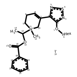 CCCCCCOc1nsnc1C1=CCC[N+](C)(C(C)OC(=O)c2ccccc2)C1.[I-]